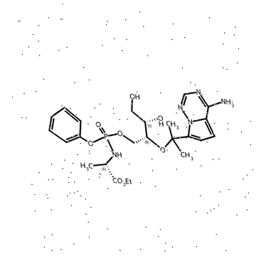 CCOC(=O)[C@H](C)NP(=O)(OC[C@@H](OC(C)(C)c1ccc2c(N)ncnn12)[C@@H](O)CO)Oc1ccccc1